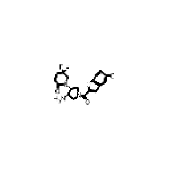 N[C@@H]1CN(C(=O)c2cc3cc(Cl)ccc3o2)C[C@@H]1N1CC(F)(F)CCC1=O